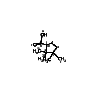 CC1(C)CC[C@H](C(=O)O)C1(C)C